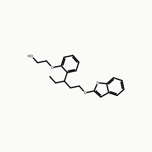 CCC(CCOc1cc2ccccc2o1)c1ccccc1OCCO